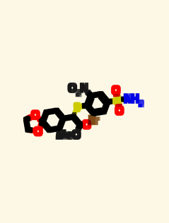 COC(=O)[C@@H](Sc1c(Br)cc(S(N)(=O)=O)cc1[N+](=O)[O-])C1CCC2(CC1)OCCO2